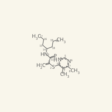 C=C(Sc1ncnc(C)c1C)C(=P)NC(CCC)CCC